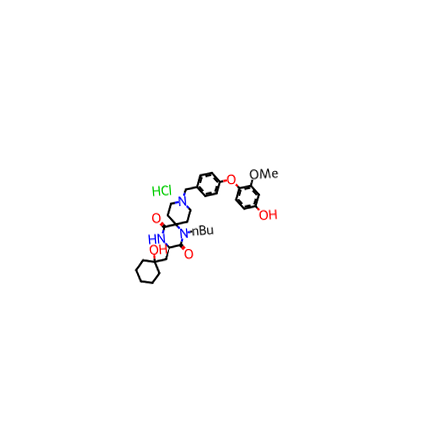 CCCCN1C(=O)[C@@H](CC2(O)CCCCC2)NC(=O)C12CCN(Cc1ccc(Oc3ccc(O)cc3OC)cc1)CC2.Cl